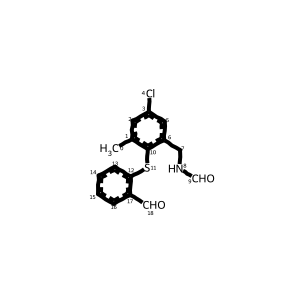 Cc1cc(Cl)cc(CNC=O)c1Sc1ccccc1C=O